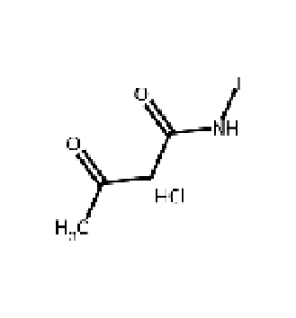 CC(=O)CC(=O)NI.Cl